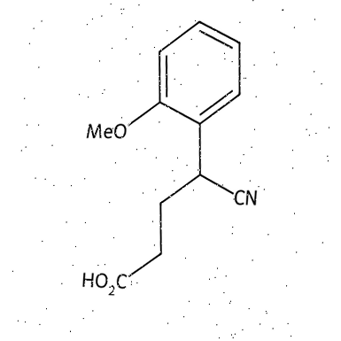 COc1ccccc1C(C#N)CCC(=O)O